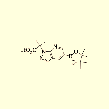 CCOC(=O)C(C)(C)n1ncc2cc(B3OC(C)(C)C(C)(C)O3)cnc21